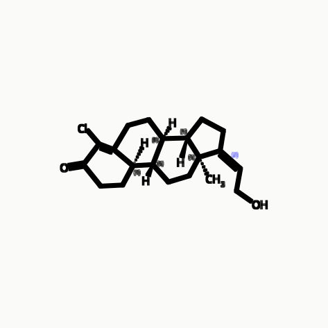 C[C@]12CC[C@H]3[C@@H](CCC4=C(Cl)C(=O)CC[C@@H]43)[C@@H]1CC/C2=C/CO